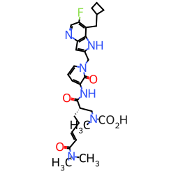 CN(C)C(=O)/C=C/CC[C@@H](CN(C)C(=O)O)C(=O)Nc1cccn(Cc2cc3ncc(F)c(CC4CCC4)c3[nH]2)c1=O